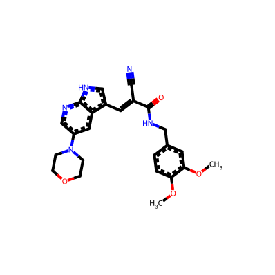 COc1ccc(CNC(=O)/C(C#N)=C/c2c[nH]c3ncc(N4CCOCC4)cc23)cc1OC